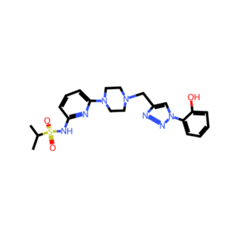 CC(C)S(=O)(=O)Nc1cccc(N2CCN(Cc3cn(-c4ccccc4O)nn3)CC2)n1